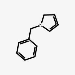 C1=CCN(Cc2ccccc2)C=1